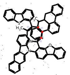 C/C1=C(c2cccc3c2sc2ccccc23)/N=C(c2cccc3c2C(C(C)c2ccccc2)Cc2ccccc2-3)\N=C(\c2c(-n3c4ccccc4c4cc5ccccc5cc43)ccc3c2oc2ccccc23)NC1